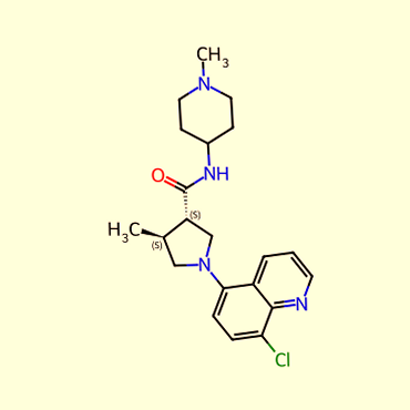 C[C@@H]1CN(c2ccc(Cl)c3ncccc23)C[C@H]1C(=O)NC1CCN(C)CC1